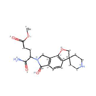 CC(C)(C)OC(=O)CCC(C(N)=O)N1Cc2c(ccc3c2OCC32CCNCC2)C1=O